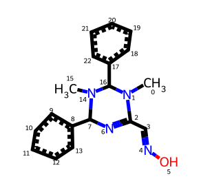 CN1C(/C=N/O)=NC(c2ccccc2)N(C)C1c1ccccc1